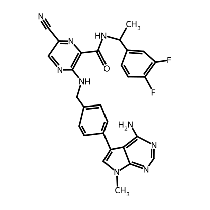 CC(NC(=O)c1nc(C#N)cnc1NCc1ccc(-c2cn(C)c3ncnc(N)c23)cc1)c1ccc(F)c(F)c1